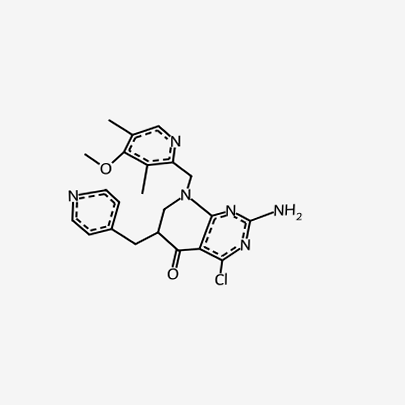 COc1c(C)cnc(CN2CC(Cc3ccncc3)C(=O)c3c(Cl)nc(N)nc32)c1C